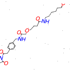 O=CCCCCCNC(=O)CCCOCC(=O)NCc1ccc(CC(=O)N2CCC2=O)cc1